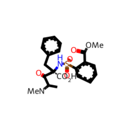 CNC(C)C(=O)[C@@](Cc1ccccc1)(NS(=O)(=O)c1ccccc1C(=O)OC)C(=O)O